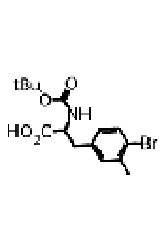 Cc1cc(CC(NC(=O)OC(C)(C)C)C(=O)O)ccc1Br